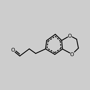 O=CCCc1ccc2c(c1)OCCO2